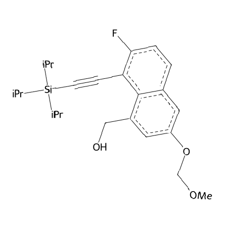 COCOc1cc(CO)c2c(C#C[Si](C(C)C)(C(C)C)C(C)C)c(F)ccc2c1